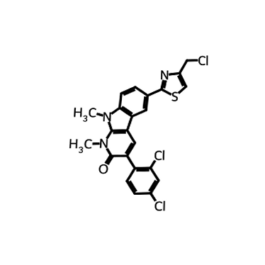 Cn1c(=O)c(-c2ccc(Cl)cc2Cl)cc2c3cc(-c4nc(CCl)cs4)ccc3n(C)c21